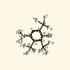 O=[N+]([O-])c1cc(C(F)(F)F)c(Br)c(C(F)(F)F)c1C(F)(F)F